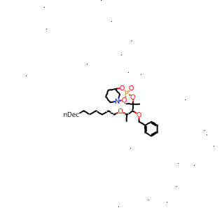 CCCCCCCCCCCCCCCCOC(C)C(OCc1ccccc1)C(C)(C)OP1(=O)OC2CCCN(C2)O1